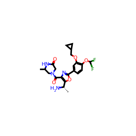 CC1CN(C(=O)c2nc(-c3ccc(OC(F)F)c(OCC4CC4)c3)oc2[C@H](C)N)CC(=O)N1